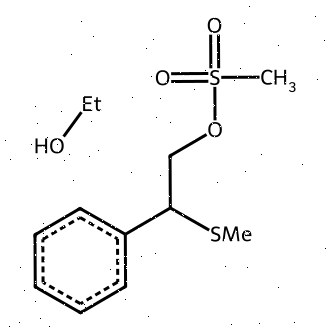 CCO.CSC(COS(C)(=O)=O)c1ccccc1